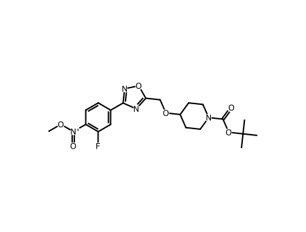 CO[N+](=O)c1ccc(-c2noc(COC3CCN(C(=O)OC(C)(C)C)CC3)n2)cc1F